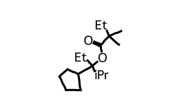 CCC(C)(C)C(=O)OC(CC)(C(C)C)C1CCCC1